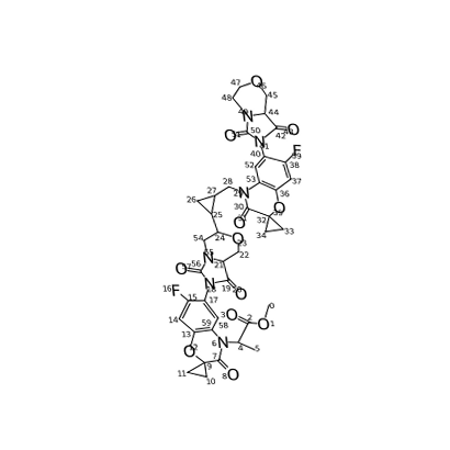 COC(=O)C(C)N1C(=O)C2(CC2)Oc2cc(F)c(N3C(=O)C4COC(C5CC5CN5C(=O)C6(CC6)Oc6cc(F)c(N7C(=O)C8COCCN8C7=O)cc65)CN4C3=O)cc21